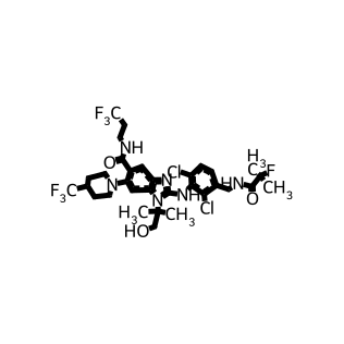 CC(C)(F)C(=O)NCc1ccc(Cl)c(Nc2nc3cc(C(=O)NCCC(F)(F)F)c(N4CCC(C(F)(F)F)CC4)cc3n2C(C)(C)CO)c1Cl